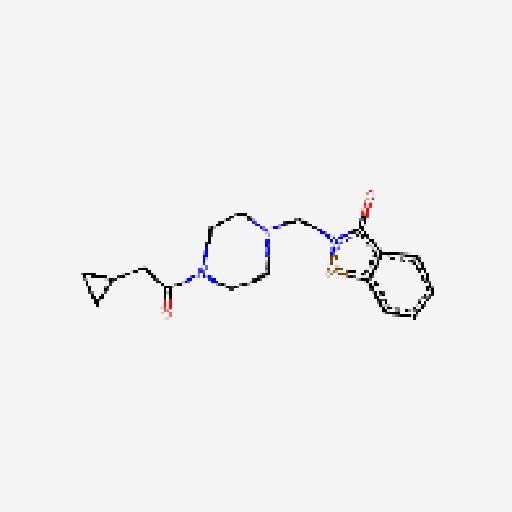 O=C(CC1CC1)N1CCN(Cn2sc3ccccc3c2=O)CC1